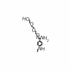 CCNc1ccc(C(N)=NOCCOCCOCCO)cc1